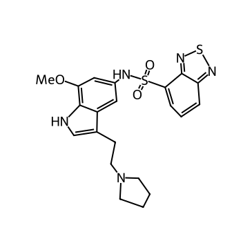 COc1cc(NS(=O)(=O)c2cccc3nsnc23)cc2c(CCN3CCCC3)c[nH]c12